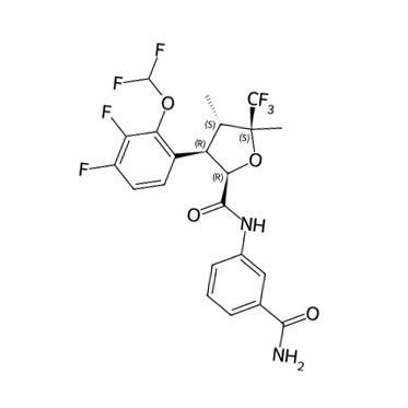 C[C@H]1[C@H](c2ccc(F)c(F)c2OC(F)F)[C@H](C(=O)Nc2cccc(C(N)=O)c2)O[C@]1(C)C(F)(F)F